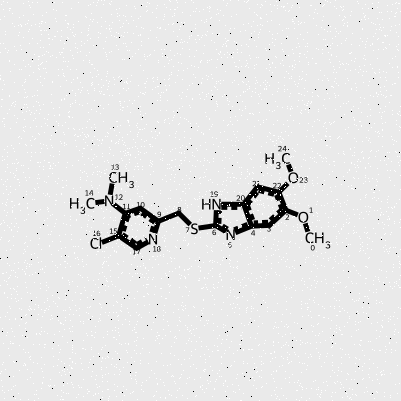 COc1cc2nc(SCc3cc(N(C)C)c(Cl)cn3)[nH]c2cc1OC